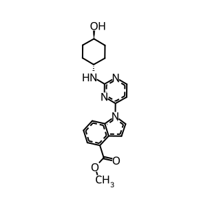 COC(=O)c1cccc2c1ccn2-c1ccnc(N[C@H]2CC[C@H](O)CC2)n1